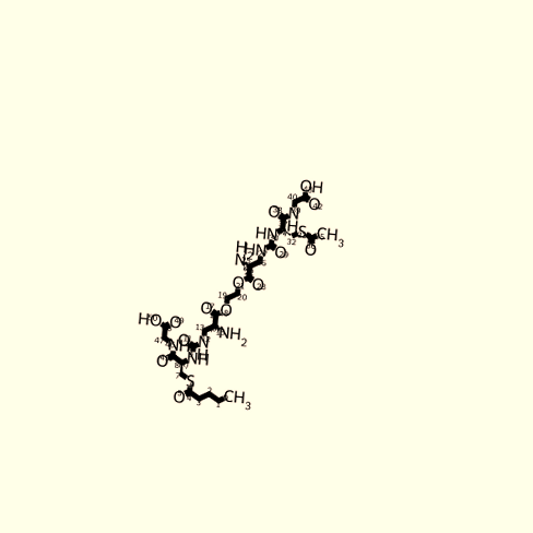 CCCCC(=O)SC[C@H](NC(=O)NC[C@H](N)C(=O)OCCOC(=O)[C@@H](N)CNC(=O)N[C@@H](CSC(C)=O)C(=O)NCC(=O)O)C(=O)NCC(=O)O